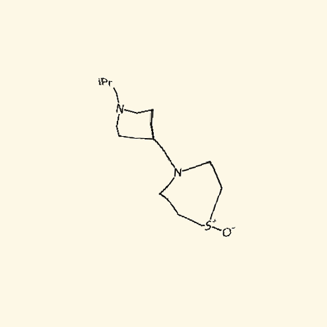 CC(C)N1CC(N2CC[S+]([O-])CC2)C1